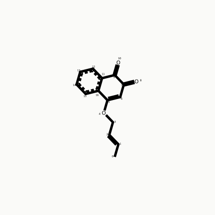 CC=CCOC1=CC(=O)C(=O)c2ccccc21